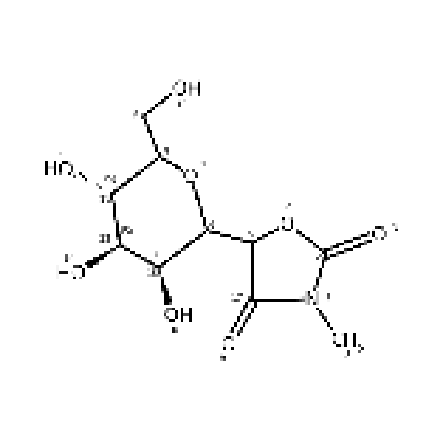 CN1C(=O)OC(C2OC(CO)[C@@H](O)[C@H](O)[C@@H]2O)C1=O